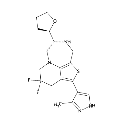 Cc1n[nH]cc1-c1sc2c3c1CC(F)(F)CN3C[C@H]([C@H]1CCCO1)NC2